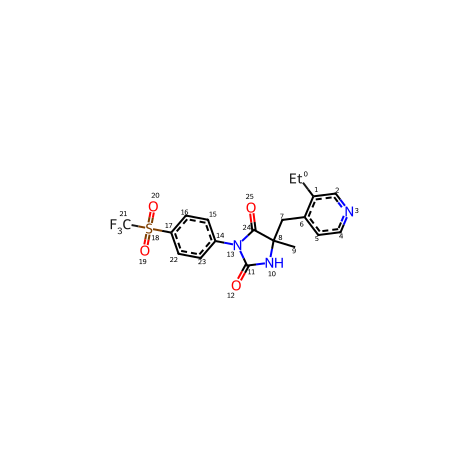 CCc1cnccc1CC1(C)NC(=O)N(c2ccc(S(=O)(=O)C(F)(F)F)cc2)C1=O